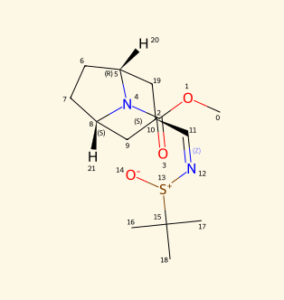 COC(=O)N1[C@@H]2CC[C@H]1C[C@H](/C=N\[S+]([O-])C(C)(C)C)C2